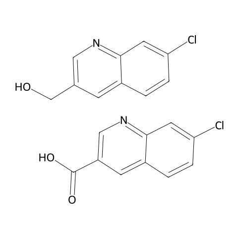 O=C(O)c1cnc2cc(Cl)ccc2c1.OCc1cnc2cc(Cl)ccc2c1